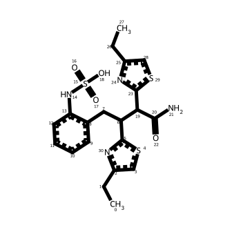 CCc1csc(C(Cc2ccccc2NS(=O)(=O)O)C(C(N)=O)c2nc(CC)cs2)n1